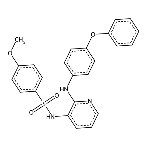 COc1ccc(S(=O)(=O)Nc2cccnc2Nc2ccc(Oc3ccccc3)cc2)cc1